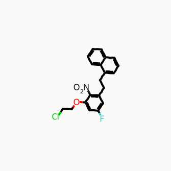 O=[N+]([O-])c1c(CCc2cccc3ccccc23)cc(F)cc1OCCCl